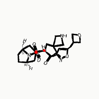 O=C(NC1C[C@H]2CC[C@@H](C1)N2S(=O)(=O)N1CCC2(CNC2)C1)c1cc(C2COC2)on1